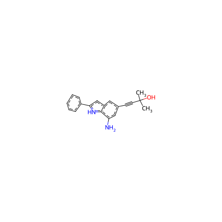 CC(C)(O)C#Cc1cc(N)c2[nH]c(-c3ccccc3)cc2c1